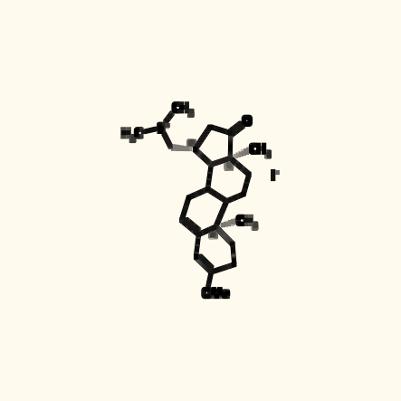 COC1=CC2=CCC3C(CC[C@]4(C)C(=O)C[C@@H](C[S+](C)C)C34)[C@@]2(C)CC1.[I-]